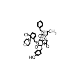 CCCN(C(=O)NCc1ccccc1)N1CC(=O)N2[C@@H](Cc3ccc(O)cc3)C(=O)N(Cc3cccc(Cl)c3N3CCOCC3)C[C@@H]21